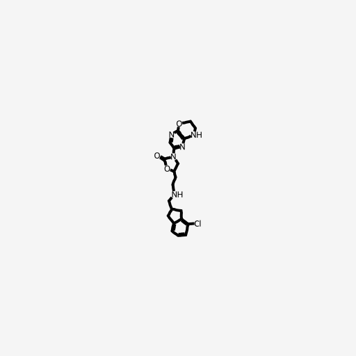 O=C1OC(CCNCC2Cc3cccc(Cl)c3C2)CN1c1cnc2c(n1)NCCO2